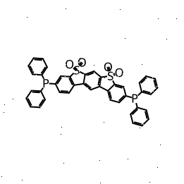 O=S1(=O)c2cc(P(c3ccccc3)c3ccccc3)ccc2-c2cc3c(cc21)S(=O)(=O)c1cc(P(c2ccccc2)c2ccccc2)ccc1-3